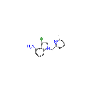 Cc1cccc(Cn2cc(Br)c3c(N)cccc32)n1